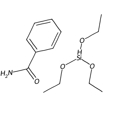 CCO[SiH](OCC)OCC.NC(=O)c1ccccc1